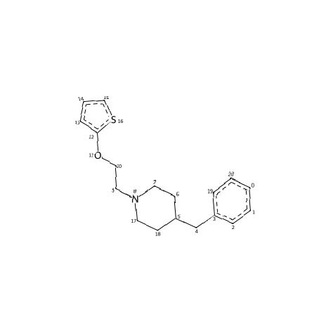 c1ccc(CC2CCN(CCOc3cccs3)CC2)cc1